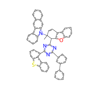 CC1(n2c3ccccc3c3cc4ccccc4cc32)C=Cc2c(oc3ccccc23)C1c1nc(-c2cccc(-c3ccccc3)c2)nc(-c2cccc3sc4ccccc4c23)n1